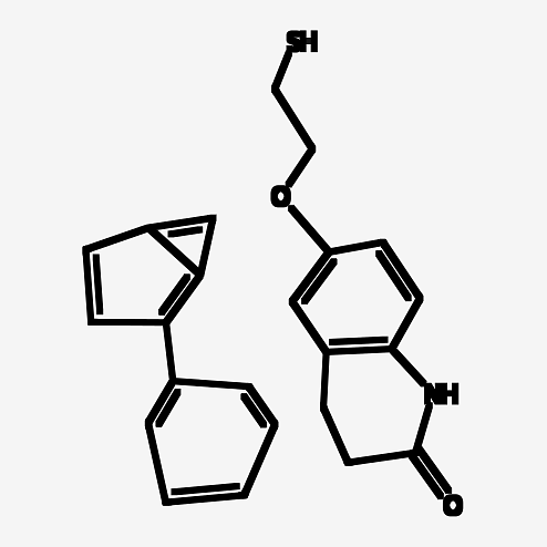 O=C1CCc2cc(OCCS)ccc2N1.c1ccc(-c2ccc3cc2-3)cc1